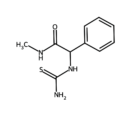 CNC(=O)C(NC(N)=S)c1ccccc1